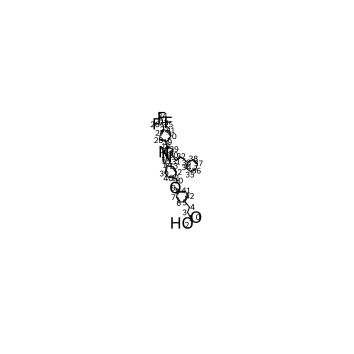 O=C(O)CCc1ccc(OCc2ccc(Cn3nc(-c4ccc(C(F)(F)F)cc4)cc3C=Cc3ccccc3)cc2)cc1